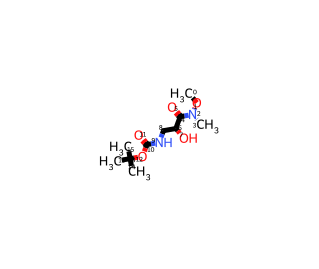 CON(C)C(=O)C(O)CNC(=O)OC(C)(C)C